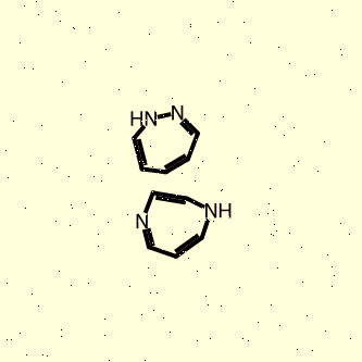 C1=CC=NNC=C1.C1=CNC=CN=C1